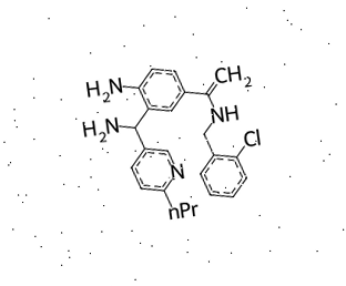 C=C(NCc1ccccc1Cl)c1ccc(N)c(C(N)c2ccc(CCC)nc2)c1